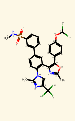 CNS(=O)(=O)c1cccc(-c2ccc(-n3cc(C(F)(F)F)nc3C)c(-c3nc(C)oc3-c3ccc(OC(F)F)cc3)c2)c1